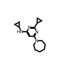 c1c(NC2CC2)nc(C2CC2)nc1N1CCCCCC1